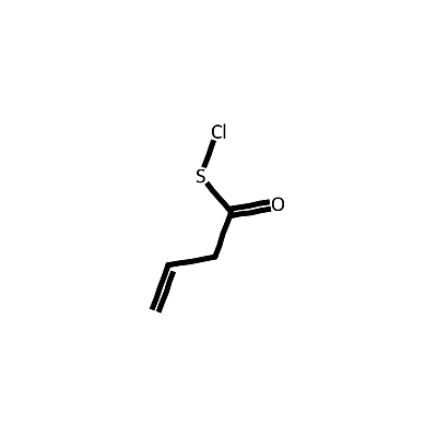 C=CCC(=O)SCl